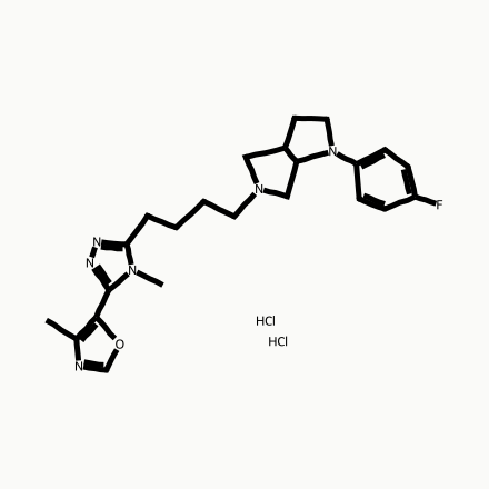 Cc1ncoc1-c1nnc(CCCCN2CC3CCN(c4ccc(F)cc4)C3C2)n1C.Cl.Cl